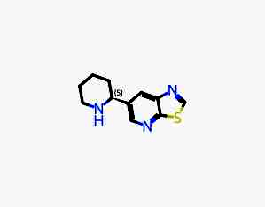 c1nc2cc([C@@H]3CCCCN3)cnc2s1